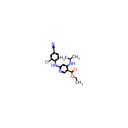 CCOC(=O)c1cnc(Nc2ccc(C#N)cc2Cl)cc1NC(C)C